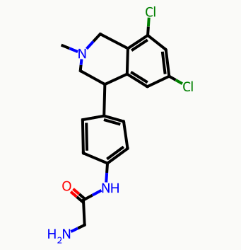 CN1Cc2c(Cl)cc(Cl)cc2C(c2ccc(NC(=O)CN)cc2)C1